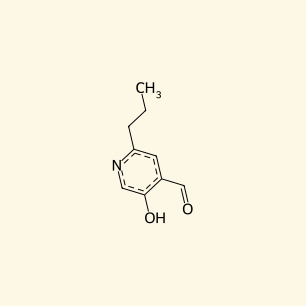 CCCc1cc(C=O)c(O)cn1